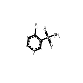 NS(=O)(=O)c1cnccc1Cl